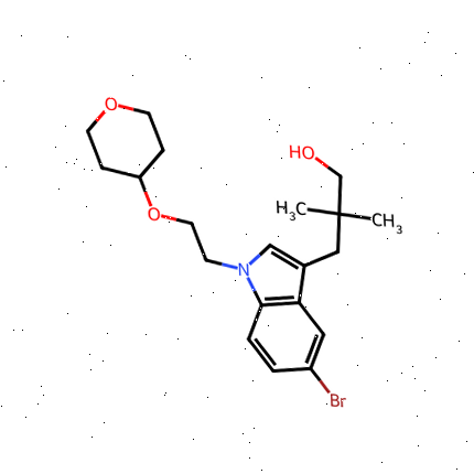 CC(C)(CO)Cc1cn(CCOC2CCOCC2)c2ccc(Br)cc12